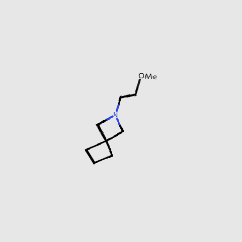 COCCN1CC2(C[CH]C2)C1